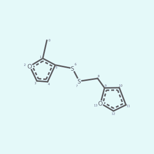 Cc1occc1SSCc1ccco1